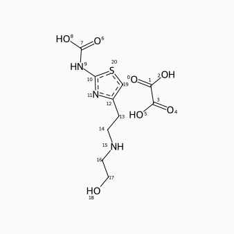 O=C(O)C(=O)O.O=C(O)Nc1nc(CCNCCO)cs1